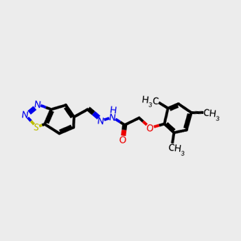 Cc1cc(C)c(OCC(=O)N/N=C/c2ccc3snnc3c2)c(C)c1